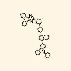 c1ccc(-n2c3ccccc3c3cc(-c4ccc(-c5ccc(-c6cccc(-c7cnc8c9ccccc9c9ccccc9c8n7)c6)cc5)c5ccccc45)ccc32)cc1